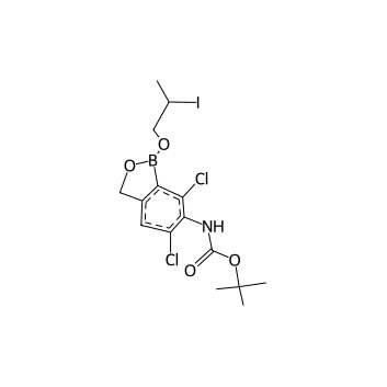 CC(I)COB1OCc2cc(Cl)c(NC(=O)OC(C)(C)C)c(Cl)c21